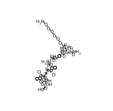 CC(C)[C@H](NC(=O)CCOCCOCCOCCOCCOCCOCCN)C(=O)N[C@@H](CCCNC(N)=O)C(=O)Nc1ccc(COC(=O)N(C)CCN(C)C(=O)Oc2cc3c(c4ccccc24)[C@H](CCl)CN3C(=O)C23CC(C(=O)N4C[C@@H](CCl)c5c4cc(O[C@@H]4O[C@H](C6OC6O)[C@@H](O)[C@H](O)[C@H]4O)c4ccccc54)(C2)C3)cc1